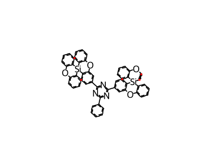 c1ccc(-c2nc(-c3ccc4c(c3)Oc3ccccc3[Si]43c4ccccc4Oc4ccccc43)nc(-c3ccc4c(c3)Oc3ccccc3[Si]43c4ccccc4Oc4ccccc43)n2)cc1